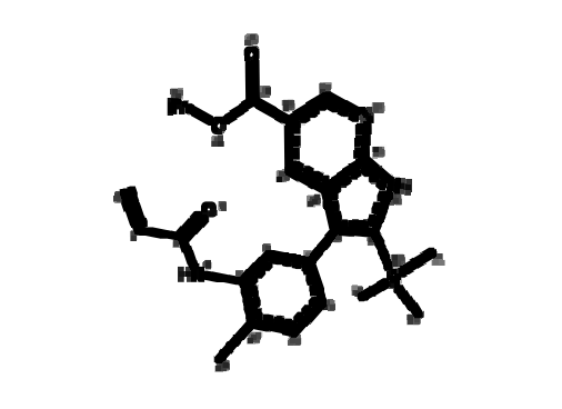 C=CC(=O)Nc1cc(-c2c([Si](C)(C)C)[nH]c3ncc(C(=O)OC(C)C)cc23)ccc1C